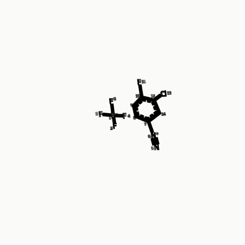 F[B-](F)(F)F.N#[N+]c1ccc(F)c(Cl)c1